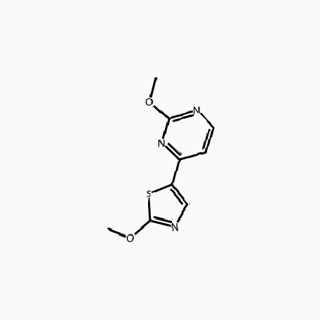 COc1nccc(-c2[c]nc(OC)s2)n1